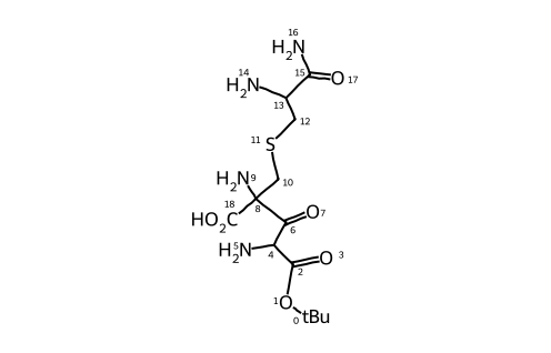 CC(C)(C)OC(=O)C(N)C(=O)C(N)(CSCC(N)C(N)=O)C(=O)O